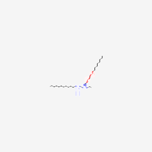 CCCCCCCCCCCCNCCN(CCC)CCOCCOCCCCCCCCC